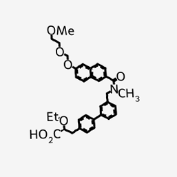 CCO[C@@H](Cc1ccc(-c2cccc(CN(C)C(=O)c3ccc4cc(OCOCCOC)ccc4c3)c2)cc1)C(=O)O